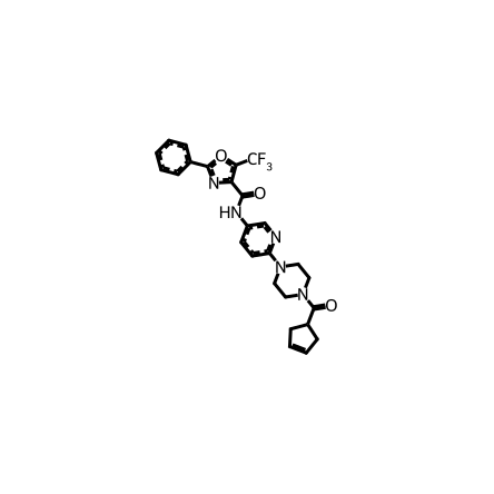 O=C(Nc1ccc(N2CCN(C(=O)C3CC=CC3)CC2)nc1)c1nc(-c2ccccc2)oc1C(F)(F)F